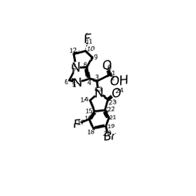 O=C(O)C(c1ncn2c1C[C@@H](F)C2)N1Cc2c(F)cc(Br)cc2C1=O